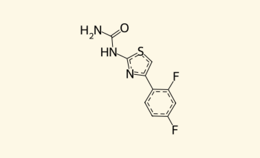 NC(=O)Nc1nc(-c2ccc(F)cc2F)cs1